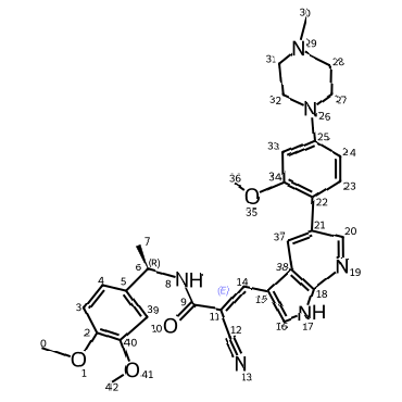 COc1ccc([C@@H](C)NC(=O)/C(C#N)=C/c2c[nH]c3ncc(-c4ccc(N5CCN(C)CC5)cc4OC)cc23)cc1OC